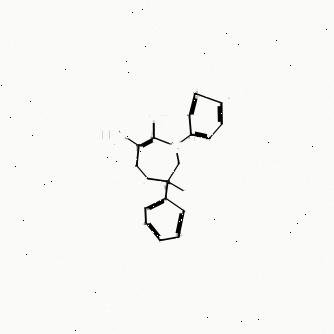 CC1(c2ccccc2)CCC(N)=C(O)N(c2ccccc2)C1